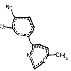 Cc1ccnc(-c2ccc(C#N)c(Cl)c2)c1